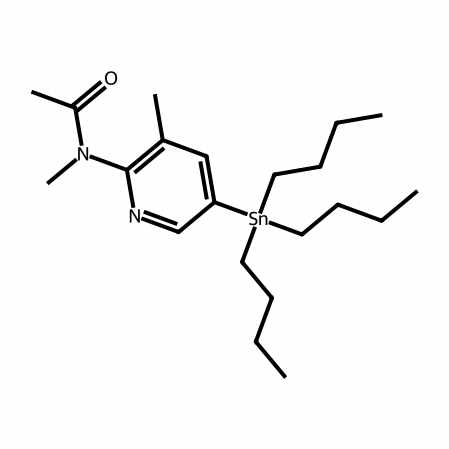 CCC[CH2][Sn]([CH2]CCC)([CH2]CCC)[c]1cnc(N(C)C(C)=O)c(C)c1